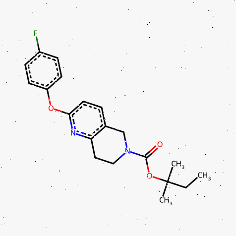 CCC(C)(C)OC(=O)N1CCc2nc(Oc3ccc(F)cc3)ccc2C1